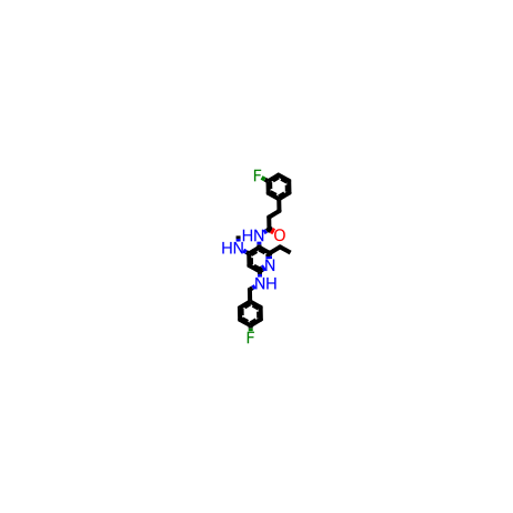 CCc1nc(NCc2ccc(F)cc2)cc(NC)c1NC(=O)CCc1cccc(F)c1